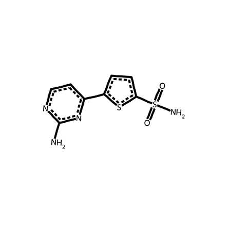 Nc1nccc(-c2ccc(S(N)(=O)=O)s2)n1